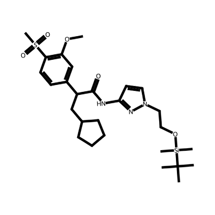 COc1cc(C(CC2CCCC2)C(=O)Nc2ccn(CCO[Si](C)(C)C(C)(C)C)n2)ccc1S(C)(=O)=O